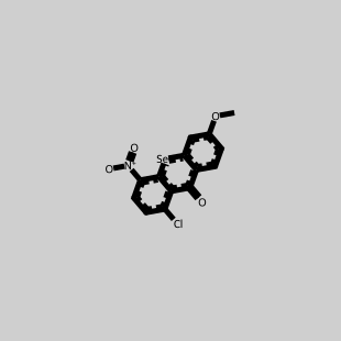 COc1ccc2c(=O)c3c(Cl)ccc([N+](=O)[O-])c3[se]c2c1